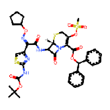 CC(C)(C)OC(=O)Nc1nc(/C(=N/OC2CCCC2)C(=O)NC2C(=O)N3C(C(=O)OC(c4ccccc4)c4ccccc4)=C(OS(C)(=O)=O)CS[C@@H]23)cs1